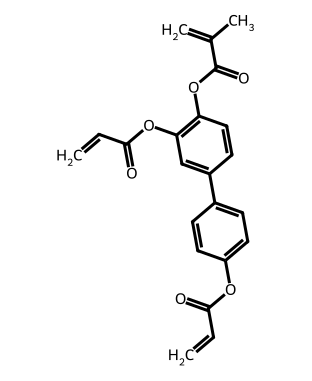 C=CC(=O)Oc1ccc(-c2ccc(OC(=O)C(=C)C)c(OC(=O)C=C)c2)cc1